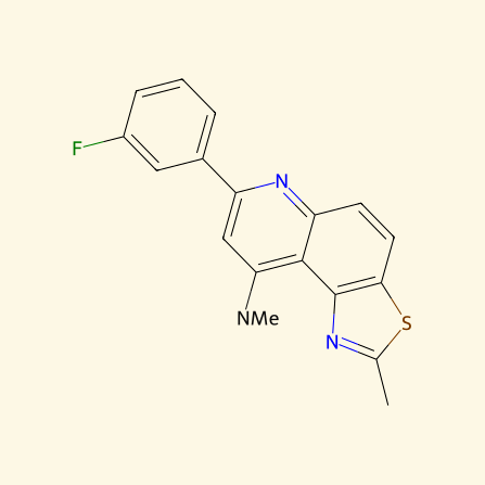 CNc1cc(-c2cccc(F)c2)nc2ccc3sc(C)nc3c12